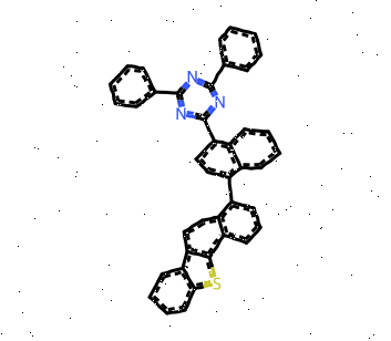 c1ccc(-c2nc(-c3ccccc3)nc(-c3ccc(-c4cccc5c4ccc4c6ccccc6sc54)c4ccccc34)n2)cc1